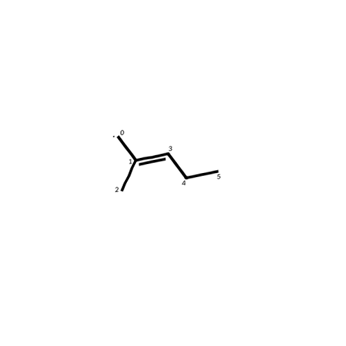 [CH2]C(C)=CCC